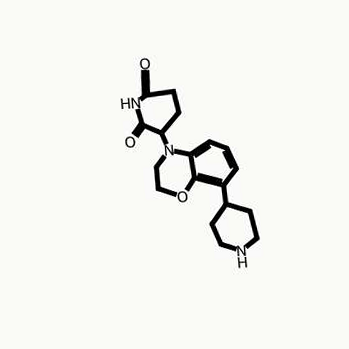 O=C1CCC(N2CCOc3c(C4CCNCC4)cccc32)C(=O)N1